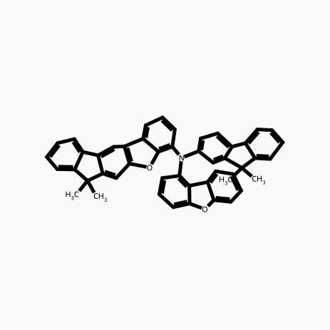 CC1(C)c2ccccc2-c2ccc(N(c3cccc4c3oc3cc5c(cc34)-c3ccccc3C5(C)C)c3cccc4oc5ccccc5c34)cc21